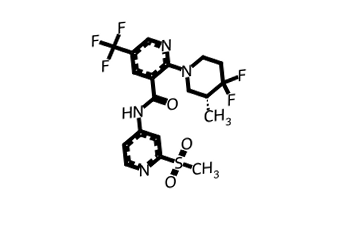 C[C@@H]1CN(c2ncc(C(F)(F)F)cc2C(=O)Nc2ccnc(S(C)(=O)=O)c2)CCC1(F)F